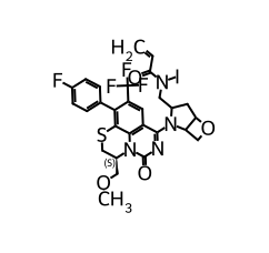 C=CC(=O)N(I)CC1CC2OCC2N1c1nc(=O)n2c3c(c(-c4ccc(F)cc4)c(C(F)(F)F)cc13)SC[C@@H]2COC